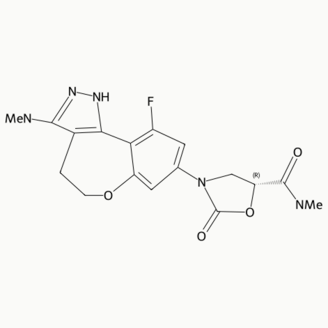 CNC(=O)[C@H]1CN(c2cc(F)c3c(c2)OCCc2c(NC)n[nH]c2-3)C(=O)O1